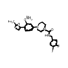 Cc1ncc(-c2ccc(N3CCCN(C(=O)NCc4ccc(F)c(F)c4)CC3)cc2ON)o1